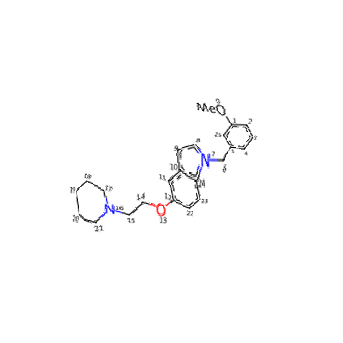 COc1cccc(Cn2ccc3cc(OCCN4CCCCC4)ccc32)c1